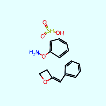 C(=C1CCO1)c1ccccc1.NOc1ccccc1.O=[SH](=O)O